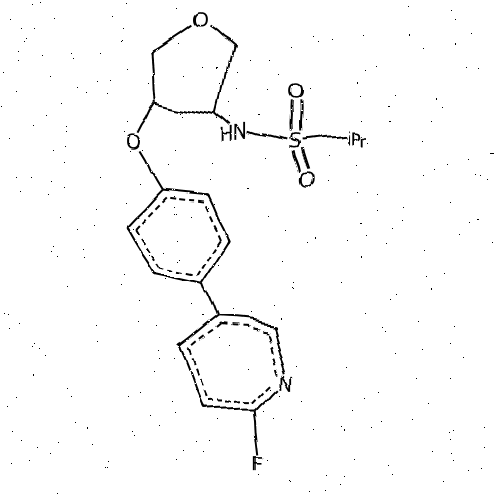 CC(C)S(=O)(=O)NC1COCC1Oc1ccc(-c2ccc(F)nc2)cc1